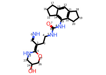 N=C/C(CCNC(=O)Nc1c2c(cc3c1CCC3)CCC2)=C1\NCC(O)CO1